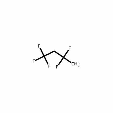 [CH2]C(F)(F)CC(F)(F)F